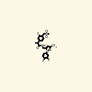 CC(C(=O)NCc1cc(C(F)(F)F)nn1-c1ccc(F)c(F)c1)c1ccc(CS(C)(=O)=O)c(F)c1